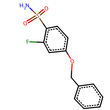 NS(=O)(=O)c1ccc(OCc2ccccc2)cc1F